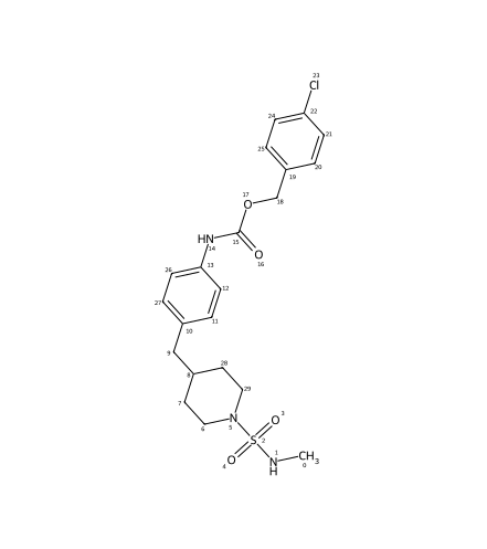 CNS(=O)(=O)N1CCC(Cc2ccc(NC(=O)OCc3ccc(Cl)cc3)cc2)CC1